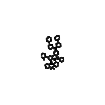 Cc1ccccc1-c1cc2c3c(c1)N1c4ccccc4C(C)(C)C4=CC=CC(B3N(c3ccccc3)c3ccc(N(c5cccc(-c6ccccc6)c5)c5cccc(-c6ccccc6)c5)cc3-2)C41